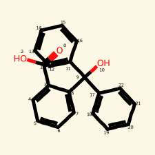 O=C(O)c1ccccc1C(O)(c1ccccc1)c1ccccc1